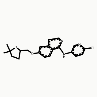 CC1(C)CCC(COc2ccc3c(Nc4ccc(Cl)nc4)nccc3c2)O1